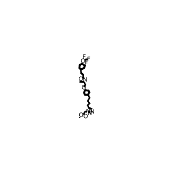 COC(=O)Cn1nncc1CCCCc1ccc(OCc2coc(/C=C/c3ccc(OC(F)(F)F)cc3)n2)cc1